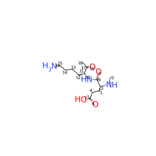 CN[C@@H](CCC(=O)O)C(=O)N[C@@H](CCCCN)C(C)=O